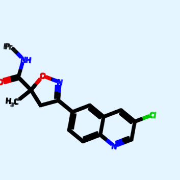 CC(C)NC(=O)C1(C)CC(c2ccc3ncc(Cl)cc3c2)=NO1